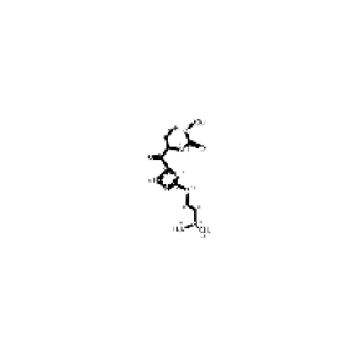 CC(C)CC(NC(=O)OC(C)(C)C)C(=O)c1nnc(SCCN(C)C)o1